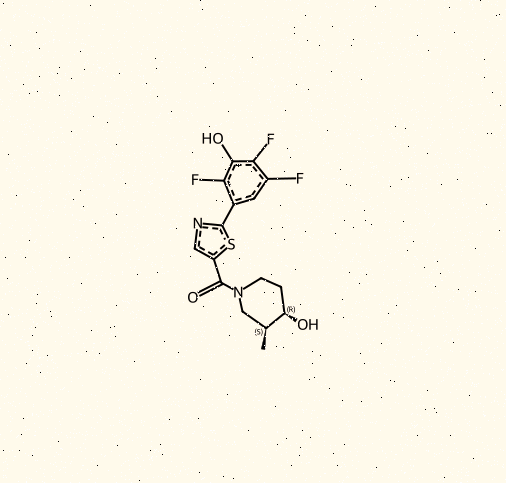 C[C@H]1CN(C(=O)c2cnc(-c3cc(F)c(F)c(O)c3F)s2)CC[C@H]1O